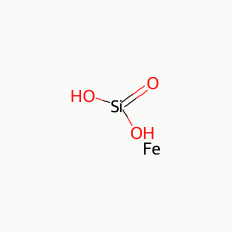 O=[Si](O)O.[Fe]